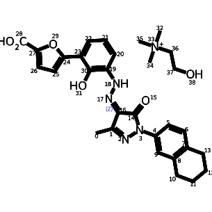 CC1=NN(c2ccc3c(c2)CCCC3)C(=O)/C1=N\Nc1cccc(-c2ccc(C(=O)O)o2)c1O.C[N+](C)(C)CCO